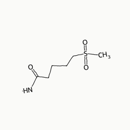 CS(=O)(=O)CCCCC([NH])=O